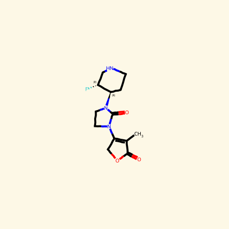 CC1=C(N2CCN([C@@H]3CCNC[C@H]3F)C2=O)COC1=O